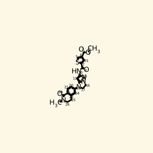 COC(=O)c1csc(C(=O)Nc2cc3n(n2)CCN3c2ccc3c(c2)CCN(C)C3=O)c1